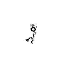 CCCN(CCOc1ccc(N)cc1)CC1CC1